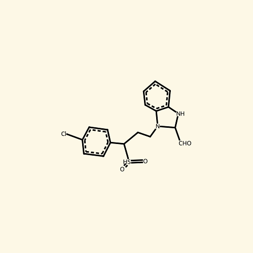 O=CC1Nc2ccccc2N1CCC(c1ccc(Cl)cc1)[SH](=O)=O